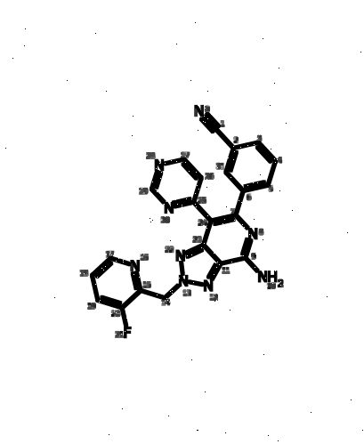 N#Cc1cccc(-c2nc(N)c3nn(Cc4ncccc4F)nc3c2-c2ccncn2)c1